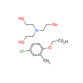 Cc1cc(Cl)ccc1OCC(=O)O.OCCN(CCO)CCO